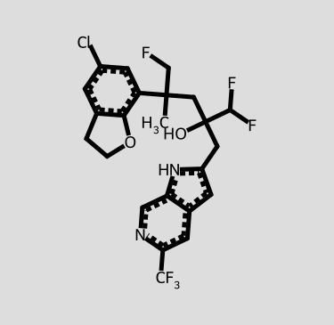 CC(CF)(CC(O)(Cc1cc2cc(C(F)(F)F)ncc2[nH]1)C(F)F)c1cc(Cl)cc2c1OCC2